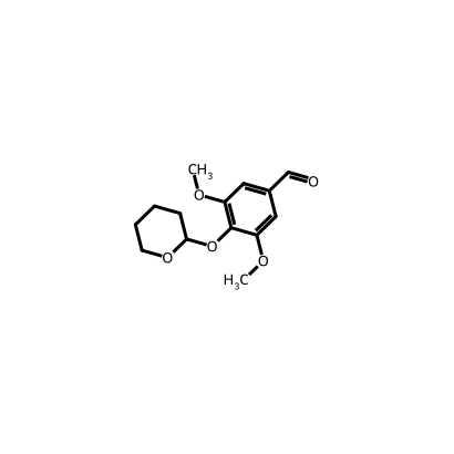 COc1cc(C=O)cc(OC)c1OC1CCCCO1